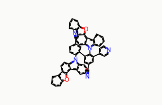 N#Cc1ccc(-n2c3ccccc3c3c4oc5ccccc5c4ccc32)c(-c2cc(C#N)cc(-c3ccncc3)c2-n2c3ccccc3c3c4oc5ccccc5c4ccc32)c1